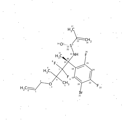 C=CCOC(C)(C)C(F)(F)[C@](C)(N[S@+]([O-])C(=C)C)c1cc(Br)c(F)cc1F